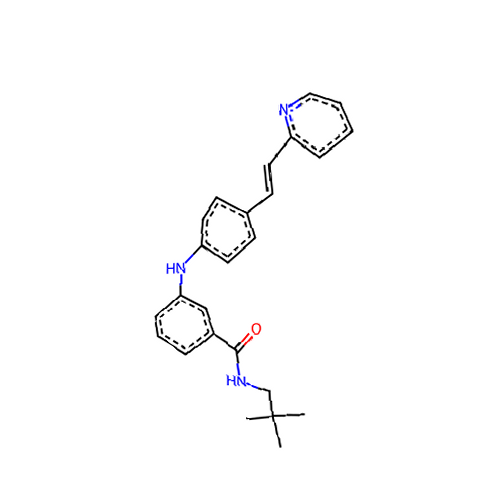 CC(C)(C)CNC(=O)c1cccc(Nc2ccc(/C=C/c3ccccn3)cc2)c1